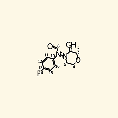 CC1COCCN1N(C=O)c1ccc(F)cc1